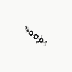 CC(C)(C)OC(=O)N1CCC(N2CCN(c3c(F)cc([N+](=O)[O-])cc3F)CC2)CC1